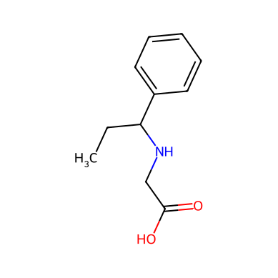 CCC(NCC(=O)O)c1ccccc1